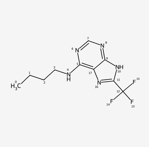 CCCCNc1ncnc2[nH]c(C(F)(F)F)nc12